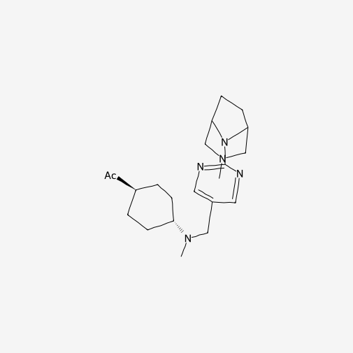 CC(=O)[C@H]1CC[C@H](N(C)Cc2cnc(N3C4CCC3CN(C)C4)nc2)CC1